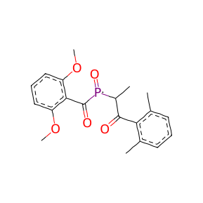 COc1cccc(OC)c1C(=O)[P](=O)C(C)C(=O)c1c(C)cccc1C